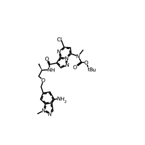 C[C@H](COCc1cc(N)c2cnn(C)c2c1)NC(=O)c1cnn2c(N(C)C(=O)OC(C)(C)C)cc(Cl)nc12